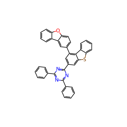 c1ccc(-c2nc(-c3ccccc3)nc(-c3cc(-c4ccc5oc6ccccc6c5c4)c4c(c3)sc3ccccc34)n2)cc1